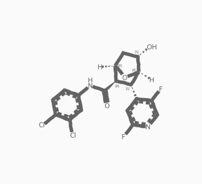 O=C(Nc1ccc(Cl)c(Cl)c1)[C@@H]1[C@@H](c2cc(F)ncc2F)[C@H]2O[C@@H]1C[C@@H]2O